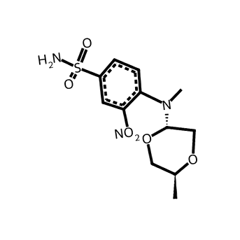 C[C@H]1CO[C@H](N(C)c2ccc(S(N)(=O)=O)cc2[N+](=O)[O-])CO1